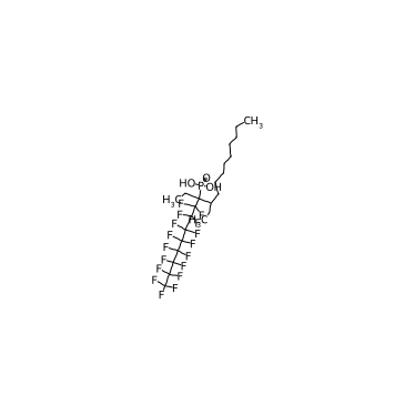 CCCCCCCCCC(CC)C(CC)(C(F)(F)C(F)(F)C(F)(F)C(F)(F)C(F)(F)C(F)(F)C(F)(F)C(F)(F)F)P(=O)(O)O